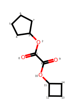 O=C(OC1CCCC1)C(=O)OC1CCC1